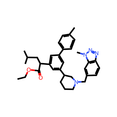 CCOC(=O)C(CC(C)C)c1cc(-c2ccc(C)cc2)cc(C2CCCN(Cc3ccc4nnn(C)c4c3)C2)c1